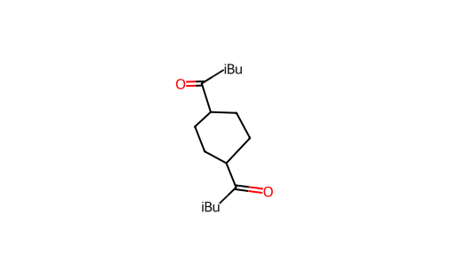 CCC(C)C(=O)C1CCC(C(=O)C(C)CC)CC1